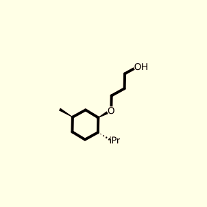 CC(C)[C@@H]1CC[C@@H](C)C[C@H]1OCCCO